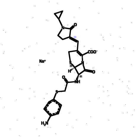 Nc1ccc(SCC(=O)N[C@@H]2C(=O)N3C(C(=O)[O-])=C(/C=C4\CCN(C5CC5)C4=O)CS[C@H]23)cc1.[Na+]